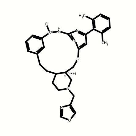 Cc1cccc(C)c1-c1cc2nc(n1)N[S+]([O-])c1cccc(c1)CCC1CCN(Cc3cocn3)C[C@@H]1CO2